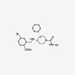 CCNC(=O)N1CC[C@H](NCc2cc(Br)ccc2OC)[C@H](c2ccccc2)C1